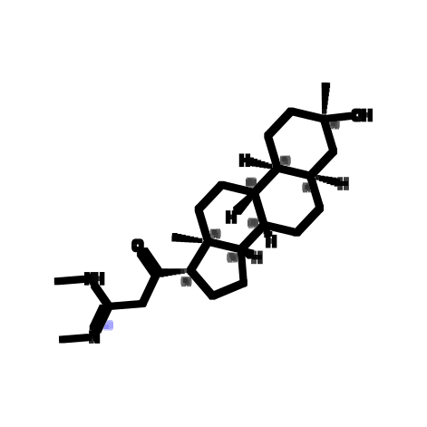 C/N=C(/CC(=O)[C@H]1CC[C@H]2[C@@H]3CC[C@@H]4C[C@](C)(O)CC[C@@H]4[C@H]3CC[C@]12C)NC